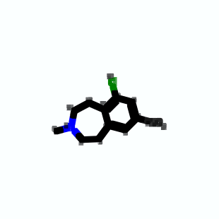 CN1CCc2cc([N+](=O)[O-])cc(Cl)c2CC1